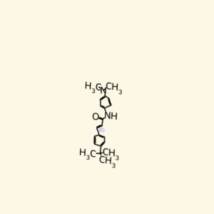 CN(C)c1ccc(NC(=O)/C=C/c2ccc(C(C)(C)C)cc2)cc1